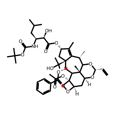 C=C[C@H]1OC2[C@@H](C)C3=C(C)[C@@H](OC(=O)[C@H](O)[C@H](CC(C)C)NC(=O)OC(C)(C)C)C[C@@]3(C(C)(C)O)[C@@H](OC(=O)c3ccccc3)[C@@H]3[C@]4(OC(C)=O)CO[C@@H]4C[C@H](O1)[C@@]23C